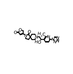 Cc1nc(-n2cnnn2)ccc1[C@@H](O)CN1CCC2(CC1)CCN(C1=CC(=O)OC1)C2=O